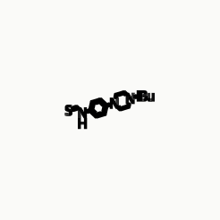 CCC(C)N1CCN(c2ccc(NC=S)cc2)CC1